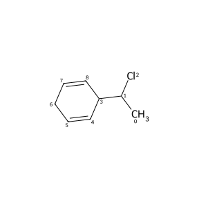 CC(Cl)C1C=CCC=C1